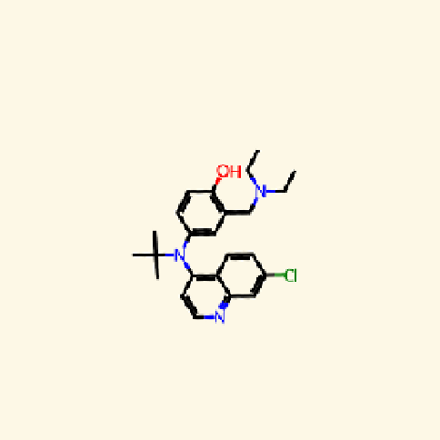 CCN(CC)Cc1cc(N(c2ccnc3cc(Cl)ccc23)C(C)(C)C)ccc1O